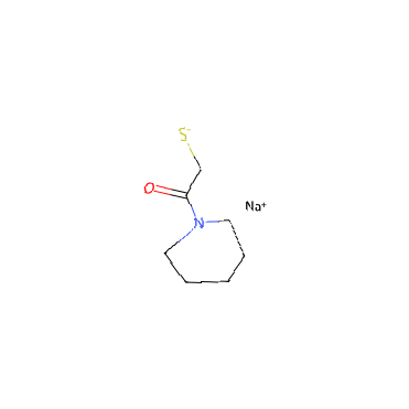 O=C(C[S-])N1CCCCC1.[Na+]